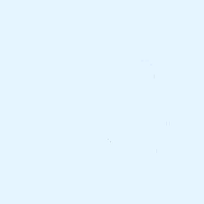 C=C(C)/C=C\C(C)=C/C/C(C(=C)NCc1ccc(C)cc1)=C(\C)CC